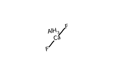 [AlH3].[F][Ca][F]